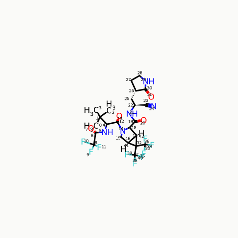 CC(C)(C)C(NC(=O)C(F)(F)F)C(=O)N1C[C@H]2[C@@H](C1C(=O)N[C@H](C#N)C[C@@H]1CCNC1=O)C2(C(F)(F)F)C(F)(F)F